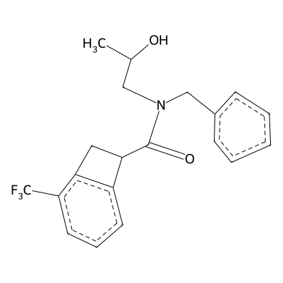 CC(O)CN(Cc1ccccc1)C(=O)C1Cc2c1cccc2C(F)(F)F